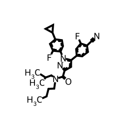 CCCCN(CC(C)C)C(=O)c1cc(-c2ccc(C#N)c(F)c2)n(-c2ccc(C3CC3)cc2F)n1